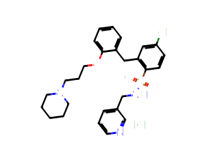 Cl.O=S(=O)(NCc1cccnc1)c1ccc(Cl)cc1Cc1ccccc1OCCCN1CCCCC1